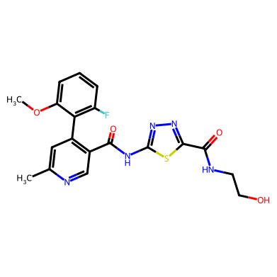 COc1cccc(F)c1-c1cc(C)ncc1C(=O)Nc1nnc(C(=O)NCCO)s1